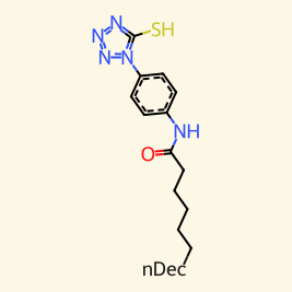 CCCCCCCCCCCCCCCC(=O)Nc1ccc(-n2nnnc2S)cc1